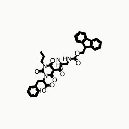 CCCN1C(=O)C(C(=O)C(N)CNC(=O)OCC2c3ccccc3-c3ccccc32)C(=O)N(C(Cc2ccccc2)C(=O)O)C1=O